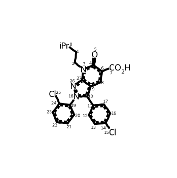 CC(C)CCn1c(=O)c(C(=O)O)cc2c(-c3ccc(Cl)cc3)n(-c3ccccc3Cl)nc21